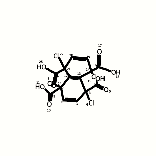 O=C(O)C1(Cl)C=CC(Cl)(C(=O)O)C2=C1C(Cl)(C(=O)O)C=CC2(Cl)C(=O)O